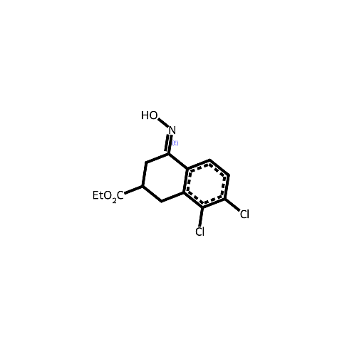 CCOC(=O)C1C/C(=N\O)c2ccc(Cl)c(Cl)c2C1